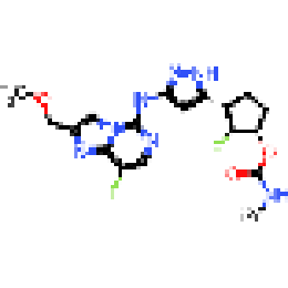 CC(C)NC(=O)O[C@H]1CC[C@@H](c2cc(Nc3ncc(F)c4nc(COC(F)(F)F)cn34)n[nH]2)[C@@H]1F